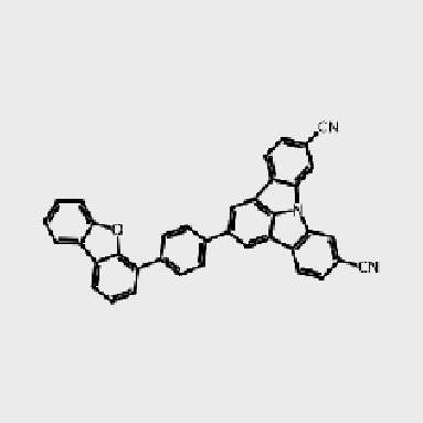 N#Cc1ccc2c3cc(-c4ccc(-c5cccc6c5oc5ccccc56)cc4)cc4c5ccc(C#N)cc5n(c2c1)c34